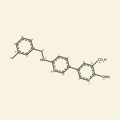 COc1ncc(-c2ccc(NCc3cccc(C)c3)nc2)cc1C(=O)O